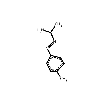 Cc1ccc(N=NC(C)N)cc1